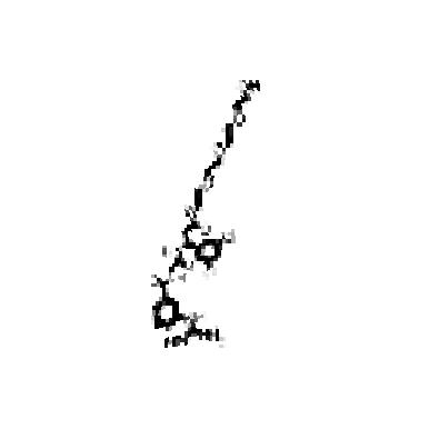 N=C(N)Nc1cccc(C(=O)NCC(=O)NC(CC(=O)OCCOCCOCCOCCO)c2cc(Cl)cc(Cl)c2)c1